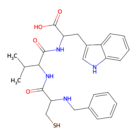 CC(C)C(NC(=O)C(CS)NCc1ccccc1)C(=O)NC(Cc1c[nH]c2ccccc12)C(=O)O